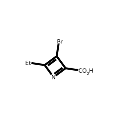 CCC1=C(Br)C(C(=O)O)=N1